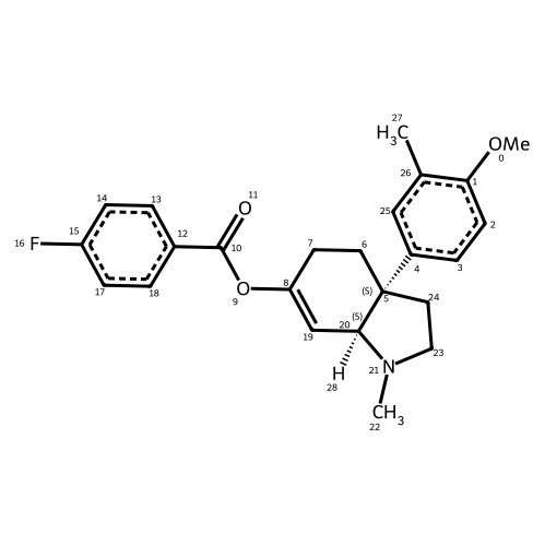 COc1ccc([C@@]23CCC(OC(=O)c4ccc(F)cc4)=C[C@@H]2N(C)CC3)cc1C